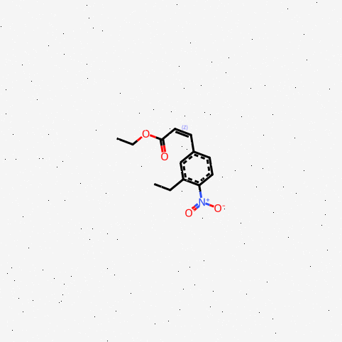 CCOC(=O)/C=C\c1ccc([N+](=O)[O-])c(CC)c1